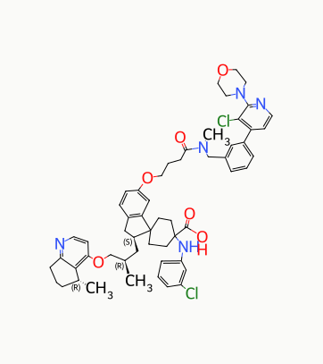 C[C@@H](COc1ccnc2c1[C@H](C)CCC2)C[C@H]1Cc2ccc(OCCCC(=O)N(C)Cc3cccc(-c4ccnc(N5CCOCC5)c4Cl)c3)cc2C12CCC(Nc1cccc(Cl)c1)(C(=O)O)CC2